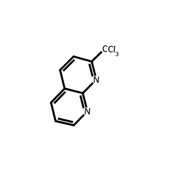 ClC(Cl)(Cl)c1ccc2cccnc2n1